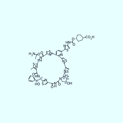 Cc1sc2nc1C(=O)N[C@@H]([C@H](O)c1ccccc1)c1nc(cs1)C(=O)NC(=O)N1C[C@H](O)[C@H](C)[C@H]1c1nc(cs1)-c1nc(cs1)-c1nc(-c3nc(NC(=O)O[C@H]4CC[C@H](C(=O)O)CC4)cs3)ccc1-c1nc(cs1)C(=O)N[C@H]2CC(N)=O